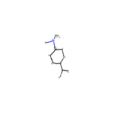 BN(C)C1CCC(C(C)C)CC1